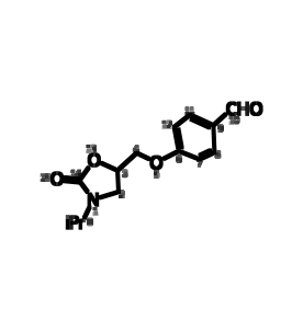 CC(C)N1CC(COc2ccc(C=O)cc2)OC1=O